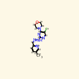 Fc1cnc(N/N=C\c2ccc(C(F)(F)F)cn2)nc1N1CCOCC1